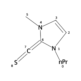 CCCN1C=CN(C)C1=C=S